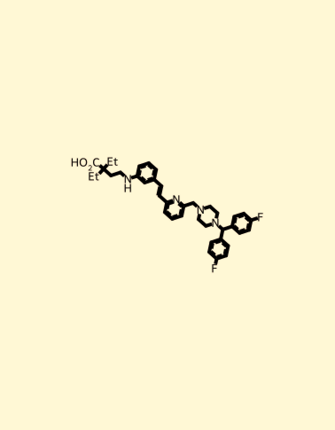 CCC(CC)(CCNc1cccc(C=Cc2cccc(CN3CCN(C(c4ccc(F)cc4)c4ccc(F)cc4)CC3)n2)c1)C(=O)O